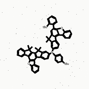 CC(C)(C)c1ccc(N(c2ccc3c(c2)C(C)(C)c2cc(-c4ccccc4C(C)(C)C)c4oc5ccccc5c4c2-3)c2ccc3c(c2)C(C)(C)c2c4c(c5oc6ccccc6c5c2-3)-c2ccccc2C4(C)C)cc1